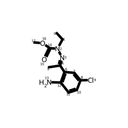 CCN(/N=C(\C)c1cc(Cl)ccc1N)C(=O)OC